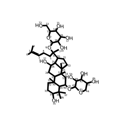 CC(C)=CCCC(C)(OC1OC(CO)C(O)C(O)C1O)C1CCC2(C)C1C(O)CC1C3(C)CCC(O)C(C)(C)C3C(OC3OCC(O)C(O)C3O)CC12C